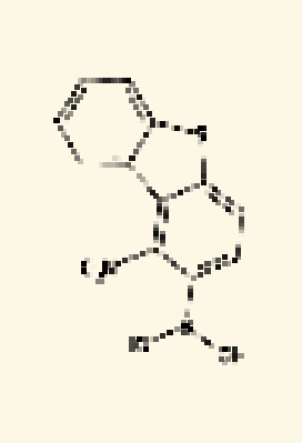 O=[N+]([O-])c1c(B(O)O)ccc2sc3ccccc3c12